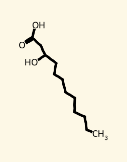 CCCCCCCCCC(O)CC(=O)O